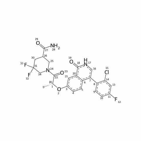 C[C@@H](Oc1ccc2c(-c3ccc(F)cc3Cl)c[nH]c(=O)c2c1)C(=O)N1CC(C(N)=O)CC(F)(F)C1